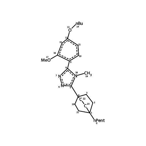 CCCCCC12CCC(c3nnc(-c4ccc(OCCCC)cc4OC)n3C)(CC1)CC2